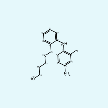 Cc1cc(N)ccc1Nc1ccccc1CSCCCO